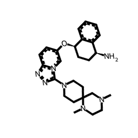 CN1CCN(C)C2(CCN(c3nnc4ccc(O[C@@H]5CC[C@H](N)c6ccccc65)cn34)CC2)C1